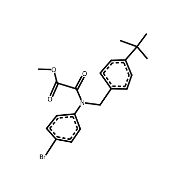 COC(=O)C(=O)N(Cc1ccc(C(C)(C)C)cc1)c1ccc(Br)cc1